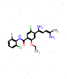 C/C(N)=C/C=C(\N)c1cc(OCC(F)(F)F)c(C(=O)Nc2c(F)cccc2Cl)cc1F